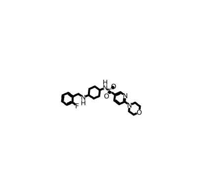 O=S(=O)(NC1CCC(NCc2ccccc2F)CC1)c1ccc(N2CCOCC2)nc1